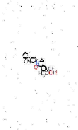 C[C@](O)(c1ccc(C(=O)N(C2CC2)[C@H]2CC[C@H](C3CC=CC=C3C#N)CC2)cc1)C(F)(F)F